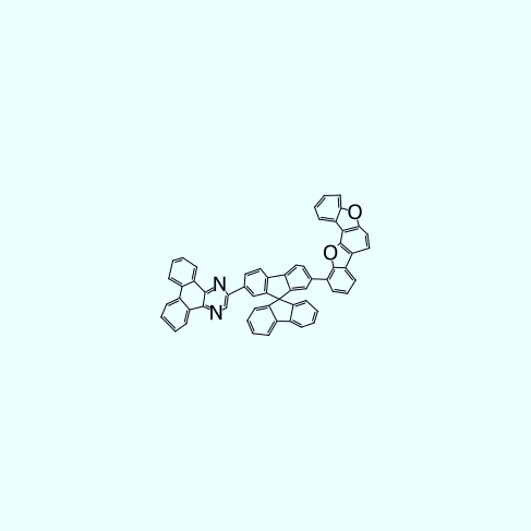 c1ccc2c(c1)-c1ccccc1C21c2cc(-c3cnc4c5ccccc5c5ccccc5c4n3)ccc2-c2ccc(-c3cccc4c3oc3c4ccc4oc5ccccc5c43)cc21